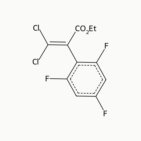 CCOC(=O)C(=C(Cl)Cl)c1c(F)cc(F)cc1F